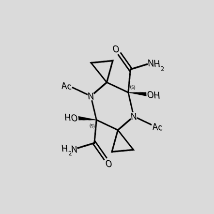 CC(=O)N1C2(CC2)[C@](O)(C(N)=O)N(C(C)=O)C2(CC2)[C@]1(O)C(N)=O